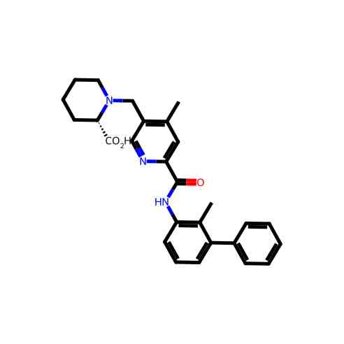 Cc1cc(C(=O)Nc2cccc(-c3ccccc3)c2C)ncc1CN1CCCC[C@H]1C(=O)O